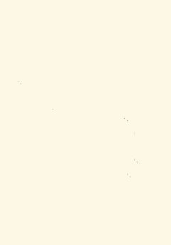 N#Cc1ccc(OC2CCN(C(=O)c3cccnn3)CC2)cc1C(F)(F)F